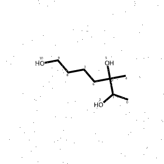 CC(O)C(C)(O)CCCCO